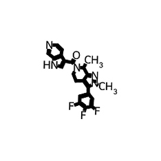 CC1c2nn(C)c(-c3cc(F)c(F)c(F)c3)c2CCN1C(=O)c1c[nH]c2cnccc12